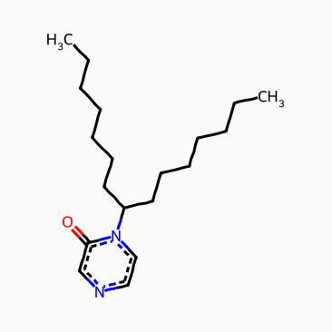 CCCCCCCC(CCCCCCC)n1ccncc1=O